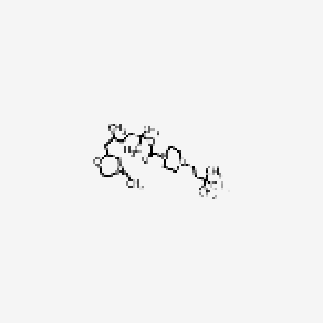 CCN1CCOC(CC(C)CCC(C)(C)OC(=O)N2CCN(CCC(C)(C)C)CC2)C1